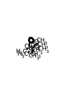 CO[Si](C)(CCN(Cc1ccccc1)[Si](C(C)C)(C(C)C)C(C)C)OC